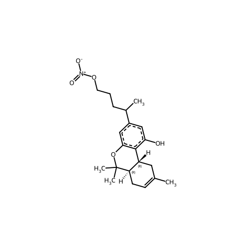 CC1=CC[C@@H]2[C@@H](C1)c1c(O)cc(C(C)CCCO[N+](=O)[O-])cc1OC2(C)C